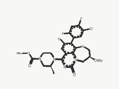 CO[C@@H]1CSc2c(-c3cc(Cl)c(F)cc3F)c(Cl)cc3c(N4CCN(C(=O)OC(C)(C)C)C[C@@H]4C)nc(=O)n(c23)C1